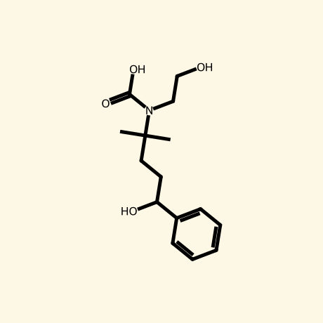 CC(C)(CCC(O)c1ccccc1)N(CCO)C(=O)O